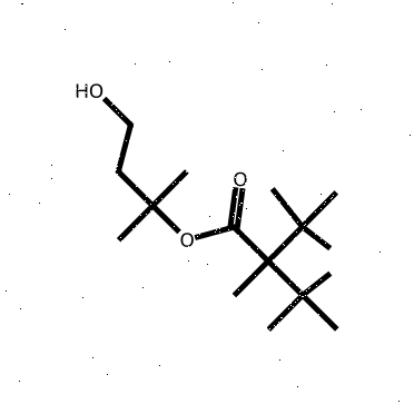 CC(C)(CCO)OC(=O)C(C)(C(C)(C)C)C(C)(C)C